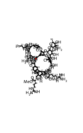 COC(=O)[C@H](CCCNC(=N)N)NCc1c(O)cc2c(c1O)-c1cc(ccc1O)C(C(N)=O)NC(=O)[C@@H]1NC(=O)[C@H](CC(N)=O)NC(=O)[C@H](NC(=O)CCC(C)C)[C@H](O)c3ccc(c(Cl)c3)Oc3cc1cc(c3O[C@H]1OC(CO)C(O)C(O)[C@H]1O[C@H]1CC(C)(N)C(O)[C@H](C)O1)Oc1ccc(cc1Cl)[C@@H](O)CC(=O)N[C@@H]2C(=O)N[C@@H](CCCNC(=N)N)C(=O)OC